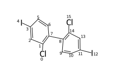 Clc1cc(I)ccc1-c1ccc(I)cc1Cl